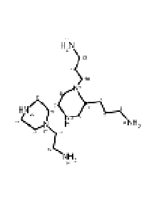 NCCCC1CNCCN1CCCN.NCCN1CCNCC1